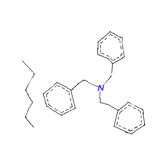 CCCCCC.c1ccc(CN(Cc2ccccc2)Cc2ccccc2)cc1